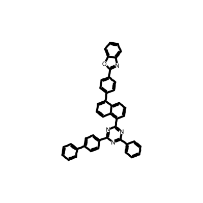 c1ccc(-c2ccc(-c3nc(-c4ccccc4)nc(-c4cccc5c(-c6ccc(-c7nc8ccccc8o7)cc6)cccc45)n3)cc2)cc1